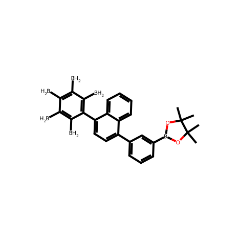 Bc1c(B)c(B)c(-c2ccc(-c3cccc(B4OC(C)(C)C(C)(C)O4)c3)c3ccccc23)c(B)c1B